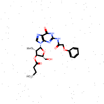 CO[C@H]1C(OC(=O)CCC(=O)O)[C@@H](CO)O[C@H]1n1cnc2c(=O)[nH]c(NC(=O)COc3ccccc3)nc21